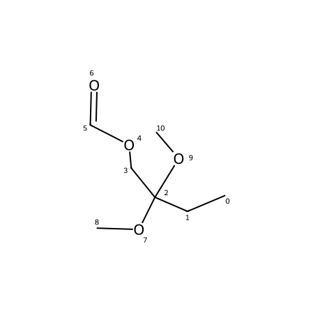 CCC(COC=O)(OC)OC